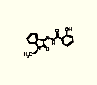 CCN1C(=O)/C(=N\NC(=O)c2ccccc2O)c2ccccc21